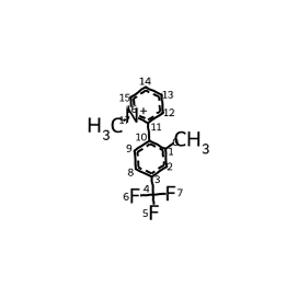 Cc1cc(C(F)(F)F)ccc1-c1cccc[n+]1C